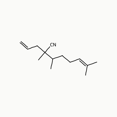 C=CCC(C)(C#N)C(C)CCC=C(C)C